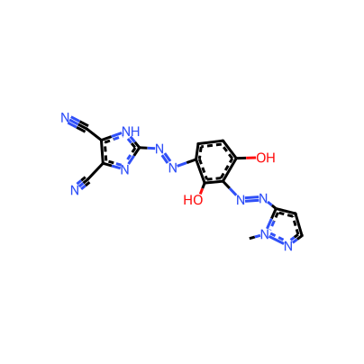 Cn1nccc1/N=N/c1c(O)ccc(/N=N/c2nc(C#N)c(C#N)[nH]2)c1O